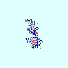 CN[C@@H](C)C(=O)N[C@H]1CCS[C@H]2CC(C)(C)[C@@H](C(=O)N[C@@H](C(=O)N[C@H]3CC[C@H](NC(=O)[C@@H](NC(=O)[C@H]4N5C(=O)[C@H](NC(=O)[C@H](C)NC)CCS[C@H]5CC4(C)C)c4ccccc4)CC3)c3ccccc3)N2C1=O